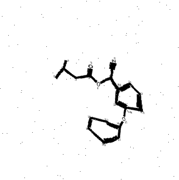 CC(C)CC(=O)OC(C#N)c1cccc(Oc2ccccc2)c1